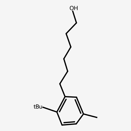 Cc1ccc(C(C)(C)C)c(CCCCCCO)c1